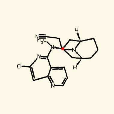 CN(c1nc(Cl)cc2ncccc12)[C@@H]1C[C@H]2CCC[C@@H](C1)N2CCC#N